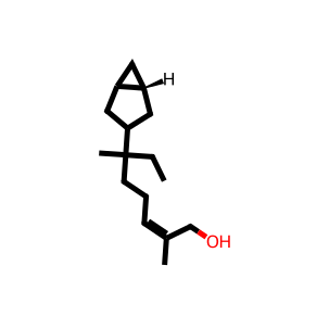 CCC(C)(CC/C=C(/C)CO)C1CC2C[C@@H]2C1